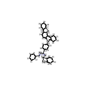 CC(N)(/N=C(\N=C\c1ccccc1)c1ccc(-n2c3ccccc3c3c4sc5ccccc5c4ccc32)cc1)c1ccccc1